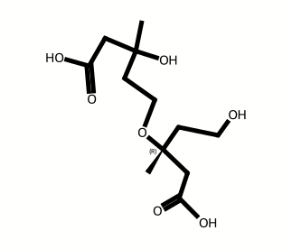 CC(O)(CCO[C@](C)(CCO)CC(=O)O)CC(=O)O